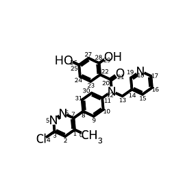 Cc1cc(Cl)nnc1-c1ccc(N(Cc2cccnc2)C(=O)c2ccc(O)cc2O)cc1